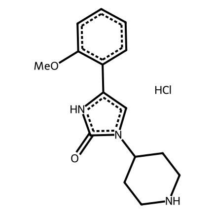 COc1ccccc1-c1cn(C2CCNCC2)c(=O)[nH]1.Cl